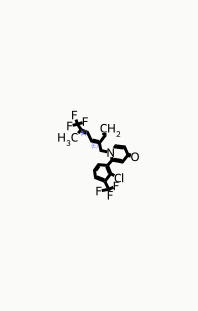 C=C/C(=C\C=C(/C)C(F)(F)F)Cn1ccc(=O)cc1-c1cccc(C(F)(F)F)c1Cl